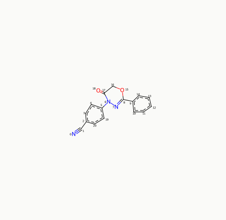 N#Cc1ccc(N2N=C(c3ccccc3)OCC2=O)cc1